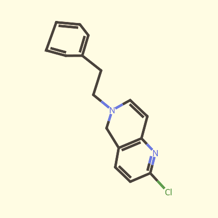 Clc1ccc2c(n1)C=CN(CCc1ccccc1)C2